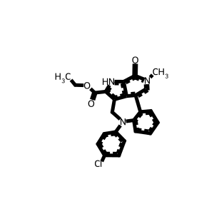 CCOC(=O)c1[nH]c2c(=O)n(C)cc3c2c1CN(c1ccc(Cl)cc1)c1ccccc1-3